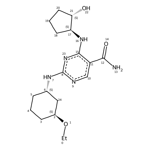 CCO[C@H]1CCC[C@H](Nc2ncc(C(N)=O)c(N[C@H]3CCC[C@@H]3O)n2)C1